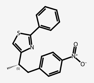 C[C@@H](Cc1ccc([N+](=O)[O-])cc1)c1csc(-c2ccccc2)n1